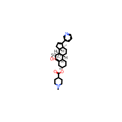 CN1CCC(C(=O)O[C@H]2CC[C@@]3(C)C(=CC[C@@H]4[C@@H]3CC[C@]3(C)C(c5cccnc5)=CC[C@@H]43)C2)CC1.O=S(=O)(O)O